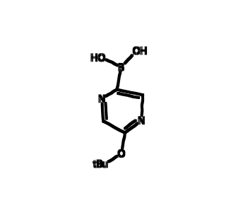 CC(C)(C)Oc1cnc(B(O)O)cn1